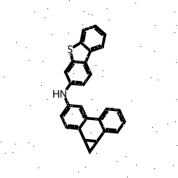 c1ccc2c(c1)-c1cc(Nc3ccc4c(c3)sc3ccccc34)ccc1C1CC21